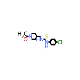 CC(=O)N1CCC(CNC(=S)Nc2ccc(Cl)cc2)CC1